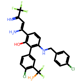 N=C(/C=C(\N)c1ccc(NCc2ccc(Cl)cc2)c(-c2ccc(Cl)c(C(F)(F)P)c2)c1O)C(F)(F)F